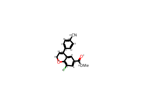 COC(=O)c1cc(F)c2c(c1)C(c1ccc(C#N)cc1)=CCO2